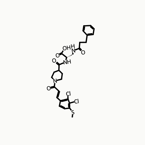 CSc1ccc(C=CC(=O)N2CCC(C(=O)N[C@@H](CNC(=O)CCc3ccccc3)C(=O)O)CC2)c(Cl)c1Cl